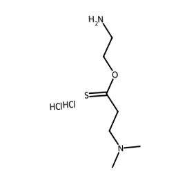 CN(C)CCC(=S)OCCN.Cl.Cl